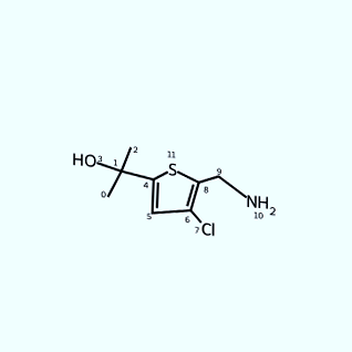 CC(C)(O)c1cc(Cl)c(CN)s1